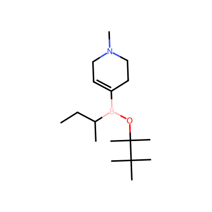 CCC(C)B(OC(C)(C)C(C)(C)C)C1=CCN(C)CC1